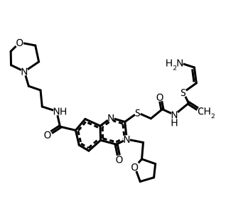 C=C(NC(=O)CSc1nc2cc(C(=O)NCCCN3CCOCC3)ccc2c(=O)n1CC1CCCO1)S/C=C\N